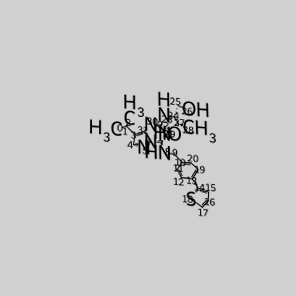 CC(C)c1cnn2c(NCc3ccc(-c4cccs4)cc3)nc(N[C@H](CO)[C@@H](C)O)nc12